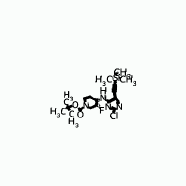 CC(C)(C)OC(=O)N1CC[C@H](Nc2nc(Cl)ncc2C#C[Si](C)(C)C)[C@H](F)C1